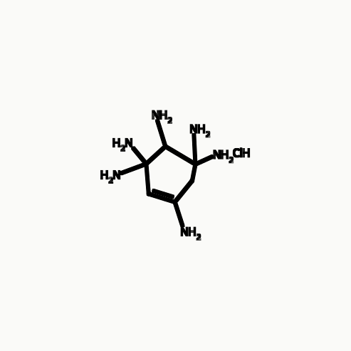 Cl.NC1=CC(N)(N)C(N)C(N)(N)C1